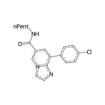 CCCCCNC(=O)c1cc(-c2ccc(Cl)cc2)c2nccn2c1